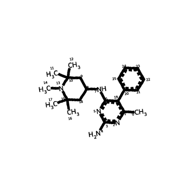 Cc1nc(N)nc(NC2CC(C)(C)N(C)C(C)(C)C2)c1-c1ccccc1